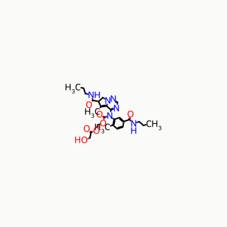 CCCNC(=O)c1ccc(C)c(N(C(=O)OCOC(=O)CO)C2=NC=NN3CC(C(=O)NCCC)C(C)=C23)c1